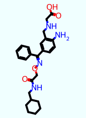 Nc1ccc(C(=NOCC(=O)NCC2CCCCC2)c2ccccc2)cc1CNCC(=O)O